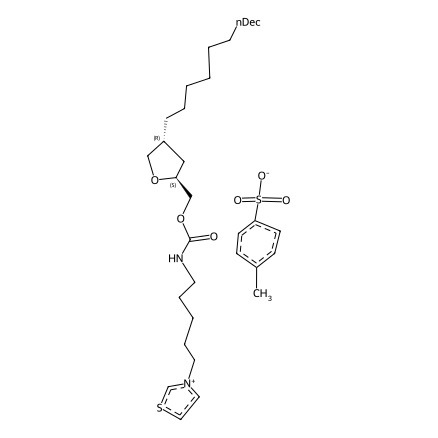 CCCCCCCCCCCCCCCC[C@H]1CO[C@H](COC(=O)NCCCCC[n+]2ccsc2)C1.Cc1ccc(S(=O)(=O)[O-])cc1